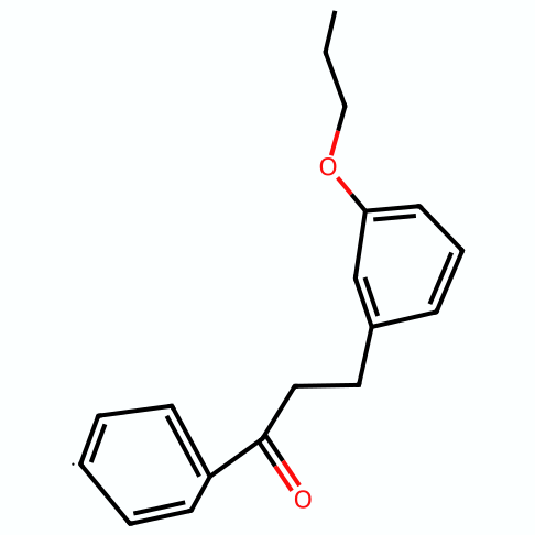 CCCOc1cccc(CCC(=O)c2cc[c]cc2)c1